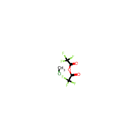 CCl.O=C(OC(=O)C(F)(F)F)C(F)(F)F